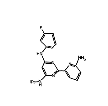 CC(C)Nc1cc(Nc2cccc(F)c2)nc(-c2cccc(N)n2)n1